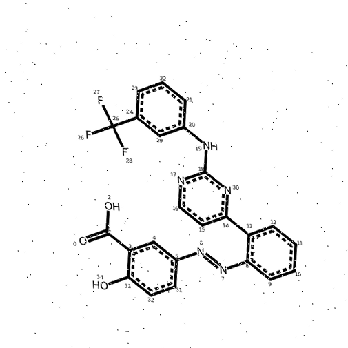 O=C(O)c1cc(N=Nc2ccccc2-c2ccnc(Nc3cccc(C(F)(F)F)c3)n2)ccc1O